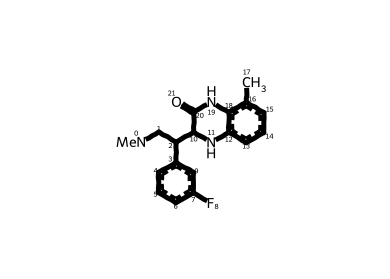 CNCC(c1cccc(F)c1)C1Nc2cccc(C)c2NC1=O